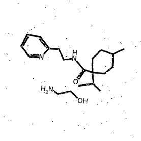 CC1CCC(C(=O)NCCc2ccccn2)(C(C)C)CC1.NCCO